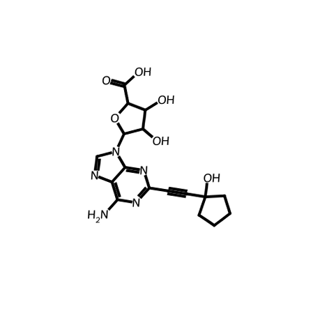 Nc1nc(C#CC2(O)CCCC2)nc2c1ncn2C1OC(C(=O)O)C(O)C1O